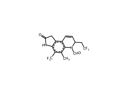 Cc1c2c(c3c(c1C(F)(F)F)NC(=O)C3)C=CC(CC(F)(F)F)N2C=O